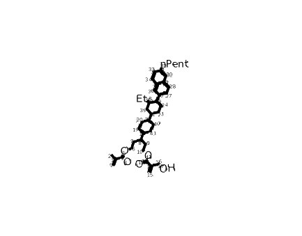 C=C(C)C(=O)OCCC(CCOC(=O)C(=C)CO)C1CCC(C2CCC(c3ccc4cc(CCCCC)ccc4c3)C(CC)C2)CC1